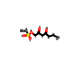 COS(=O)(=O)OCC(=O)CC(=O)CCC(C)=O